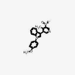 COc1ccc(-n2cc(-c3cncc([N+](=O)[O-])c3C)c3ccccc32)cc1